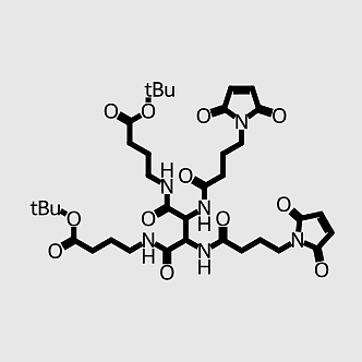 CC(C)(C)OC(=O)CCCNC(=O)C(NC(=O)CCCN1C(=O)C=CC1=O)C(NC(=O)CCCN1C(=O)C=CC1=O)C(=O)NCCCC(=O)OC(C)(C)C